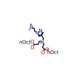 CCCCCCCCOC(=O)CCN(CCC(=O)OCCCCCCCC)Cc1cnn(CCN(C)C)c1